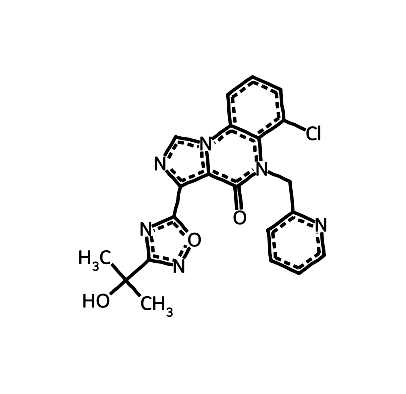 CC(C)(O)c1noc(-c2ncn3c2c(=O)n(Cc2ccccn2)c2c(Cl)cccc23)n1